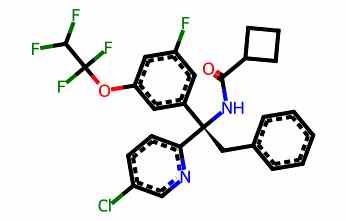 O=C(N[C@@](Cc1ccccc1)(c1cc(F)cc(OC(F)(F)C(F)F)c1)c1ccc(Cl)cn1)C1CCC1